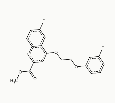 COC(=O)c1cc(OCCOc2cccc(F)c2)c2cc(F)ccc2n1